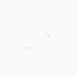 CCCS(=O)(=O)c1ncccc1CN